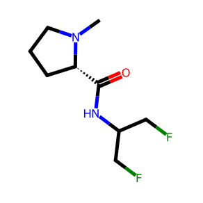 CN1CCC[C@H]1C(=O)NC(CF)CF